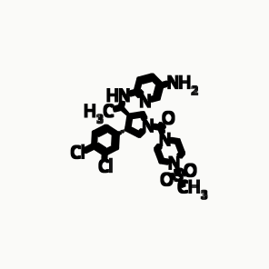 CC(Nc1ccc(N)cn1)[C@H]1CN(C(=O)N2CCN(S(C)(=O)=O)CC2)C[C@@H]1c1ccc(Cl)c(Cl)c1